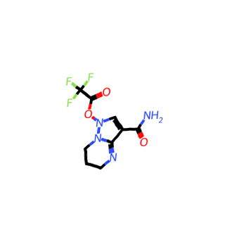 NC(=O)C1=CN(OC(=O)C(F)(F)F)N2CCCN=C12